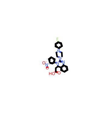 O=C(O)CC1c2ccccc2N=C(N2CCN(c3ccc(F)cc3)CC2)N1c1cccc([N+](=O)[O-])c1